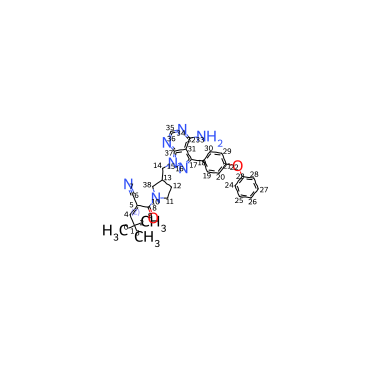 CC(C)(C)/C=C(/C#N)C(=O)N1CCC(Cn2nc(-c3ccc(Oc4ccccc4)cc3)c3c(N)ncnc32)C1